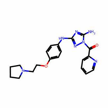 Nc1nc(Nc2ccc(OCCN3CCCC3)cc2)nn1C(=O)c1ccccn1